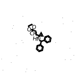 CC1(CCC2(NC(c3ccccc3)c3ccccc3)CC2)OCCO1